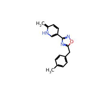 C=C1C=CC(c2noc(Cc3ccc(C)cc3)n2)=CN1